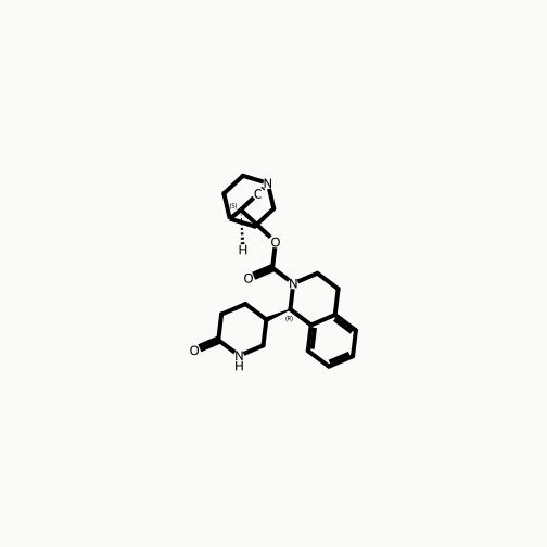 O=C1CCC([C@@H]2c3ccccc3CCN2C(=O)O[C@@H]2CN3CCC2CC3)CN1